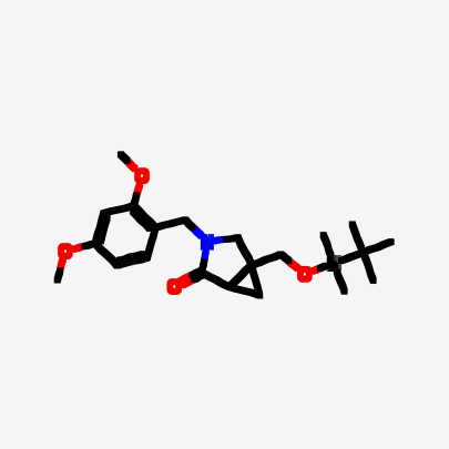 COc1ccc(CN2CC3(CO[Si](C)(C)C(C)(C)C)CC3C2=O)c(OC)c1